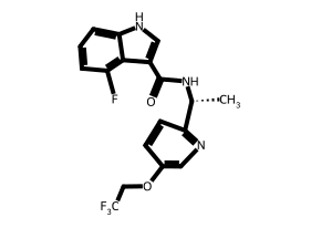 C[C@@H](NC(=O)c1c[nH]c2cccc(F)c12)c1ccc(OCC(F)(F)F)cn1